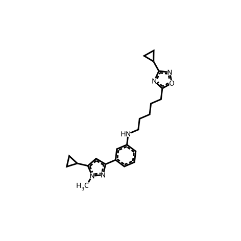 Cn1nc(-c2cccc(NCCCCCc3nc(C4CC4)no3)c2)cc1C1CC1